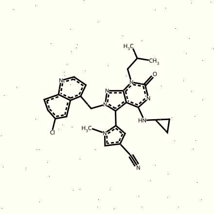 CC(C)Cn1c(=O)nc(NC2CC2)c2c(-c3cc(C#N)cn3C)n(Cc3ccnc4ccc(Cl)cc34)nc21